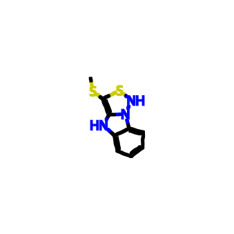 CSC1=C2Nc3ccccc3N2NS1